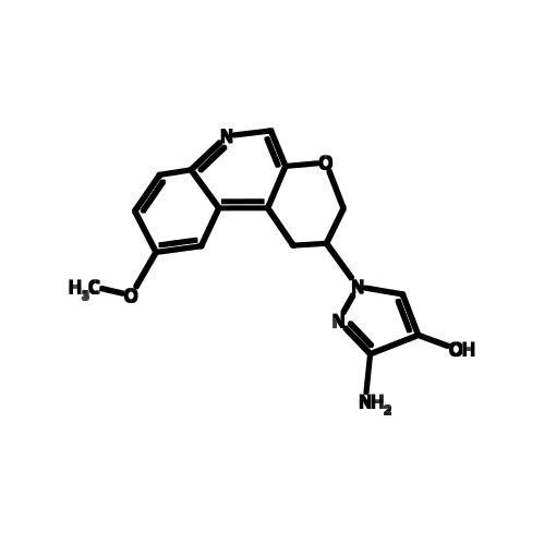 COc1ccc2ncc3c(c2c1)CC(n1cc(O)c(N)n1)CO3